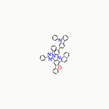 C1=CC2C=Cc3c(n(-c4cccc(-c5ccc6c7ccccc7n(-c7ccccc7)c6c5)c4)c4c(-c5nc(-c6ccccc6)nc(-c6ccccc6)n5)cc5c6ccccc6oc5c34)C2C=C1